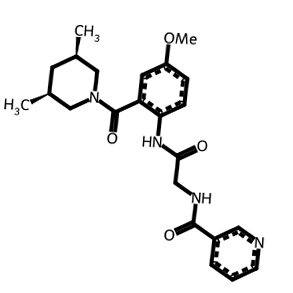 COc1ccc(NC(=O)CNC(=O)c2cccnc2)c(C(=O)N2C[C@H](C)C[C@H](C)C2)c1